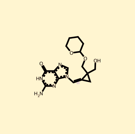 Nc1nc2c(ncn2/C=C2/CC2(CO)COC2CCCCO2)c(=O)[nH]1